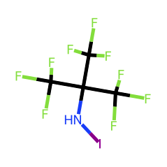 FC(F)(F)C(NI)(C(F)(F)F)C(F)(F)F